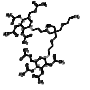 C=CCOCC(CO)(COCCC[C@H]1S[C@H](COC(C)=O)[C@@H](OC(C)=O)[C@H](OC(C)=O)[C@@H]1OC(C)=O)COCCC[C@H]1S[C@H](COC(C)=O)[C@@H](OC(C)=O)[C@H](OC(C)=O)[C@@H]1OC(C)=O